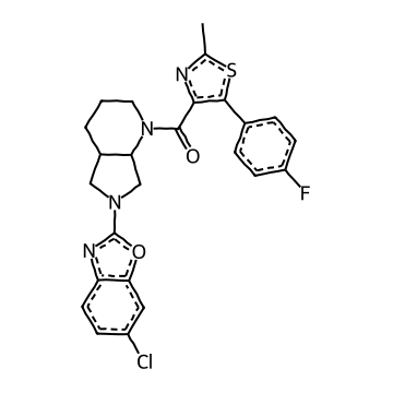 Cc1nc(C(=O)N2CCCC3CN(c4nc5ccc(Cl)cc5o4)CC32)c(-c2ccc(F)cc2)s1